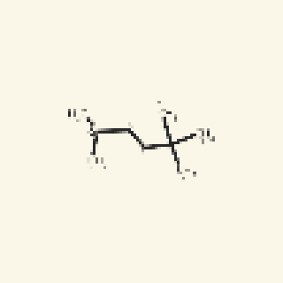 C[Si](C)CCC(C)(C)C